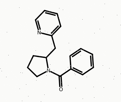 O=C(c1ccccc1)N1CCCC1Cc1ccccn1